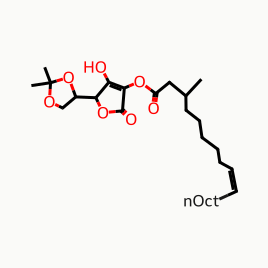 CCCCCCCC/C=C\CCCCCC(C)CC(=O)OC1=C(O)C(C2COC(C)(C)O2)OC1=O